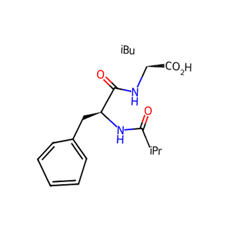 CC[C@H](C)[C@H](NC(=O)[C@H](Cc1ccccc1)NC(=O)C(C)C)C(=O)O